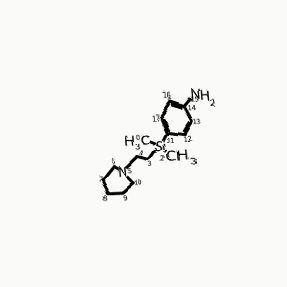 C[Si](C)(CCN1CCCCC1)c1ccc(N)cc1